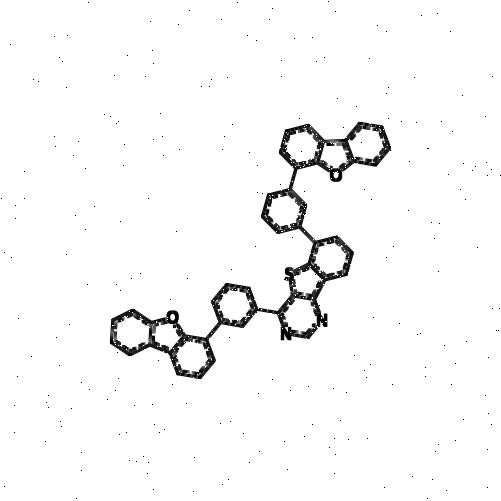 c1cc(-c2cccc3c2oc2ccccc23)cc(-c2cccc3c2sc2c(-c4cccc(-c5cccc6c5oc5ccccc56)c4)ncnc23)c1